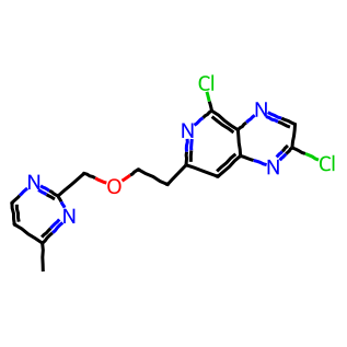 Cc1ccnc(COCCc2cc3nc(Cl)cnc3c(Cl)n2)n1